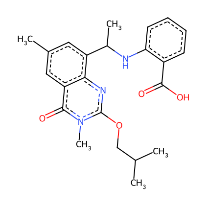 Cc1cc(C(C)Nc2ccccc2C(=O)O)c2nc(OCC(C)C)n(C)c(=O)c2c1